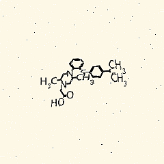 CC(C)c1ccc(Sc2ccccc2N2CC(C)N(CC(=O)O)CC2C)cc1